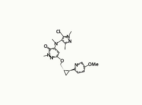 COc1ccc([C@H]2C[C@@H]2COc2cc(N(C)c3c(C)nn(C)c3Cl)c(=O)n(C)n2)nc1